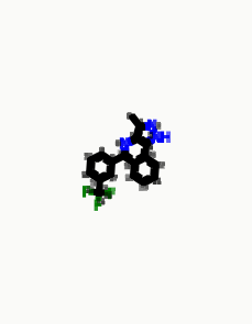 Cc1n[nH]c2c1nc(-c1cccc(C(F)(F)F)c1)c1ccccc12